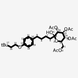 CC(=O)OC[C@H]1O[C@](O)(CCCCc2ccc(OCCC(C)(C)C)cc2)[C@H](OC(C)=O)[C@@H](OC(C)=O)[C@@H]1OC(C)=O